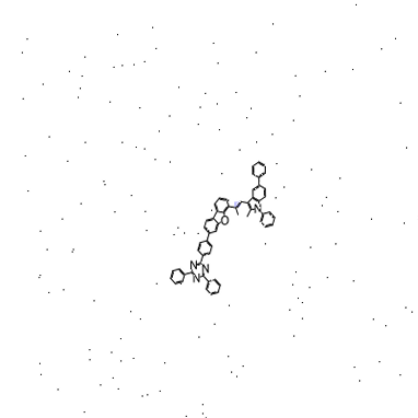 C/C(=C\c1c(C)n(-c2ccccc2)c2ccc(-c3ccccc3)cc12)c1cccc2c1oc1cc(-c3ccc(-c4nc(-c5ccccc5)nc(-c5ccccc5)n4)cc3)ccc12